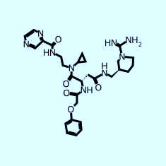 N=C(N)N1CCC[C@@H](CNC(=O)C[C@H](NC(=O)COc2ccccc2)C(=O)N(CCNC(=O)c2cnccn2)C2CC2)C1